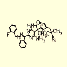 CC(C)(C#N)Cc1csc([C@@]2(C)C(=O)Nc3nc(-c4nn(Cc5ccccc5F)c5ccccc45)nc(N)c32)n1